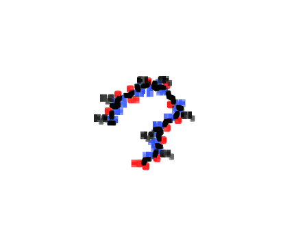 Cn1cc(NC(=O)c2nc(NC(=O)[C@@H](O)CNC(=O)c3cc(NC(=O)c4nccn4C)cn3C)cn2C)cc1C(=O)NCCCC(=O)Nc1cn(C)c(C(=O)NCCC(=O)Nc2cc(C(=O)Nc3cn(C)c(C(=O)NCCC(=O)O)n3)n(C)c2)n1